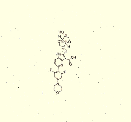 O=C(O)c1c(O[C@@H]2CO[C@H]3[C@@H]2OC[C@H]3O)[nH]c2ccc(-c3c(F)cc(N4CCOCC4)cc3F)nc12